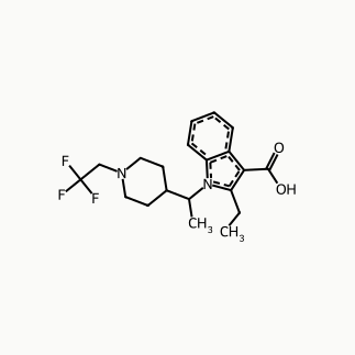 CCc1c(C(=O)O)c2ccccc2n1C(C)C1CCN(CC(F)(F)F)CC1